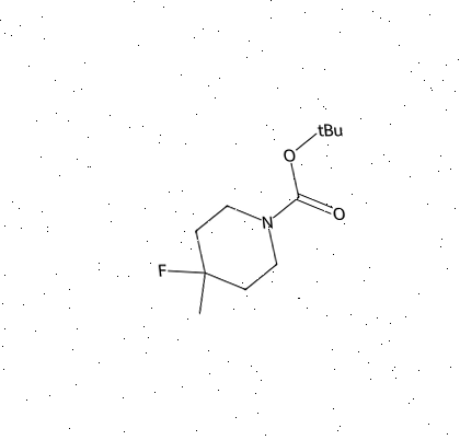 CC1(F)CCN(C(=O)OC(C)(C)C)CC1